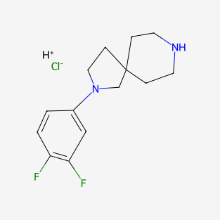 Fc1ccc(N2CCC3(CCNCC3)C2)cc1F.[Cl-].[H+]